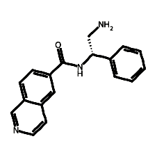 NC[C@@H](NC(=O)c1ccc2cnccc2c1)c1ccccc1